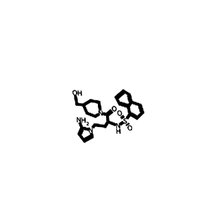 Nc1cccn1CCC(NS(=O)(=O)c1cccc2ccccc12)C(=O)N1CCC(CO)CC1